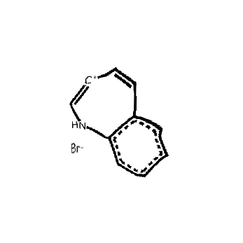 [Br-].[C+]1=CNc2ccccc2C=C1